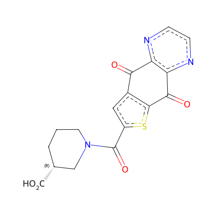 O=C1c2cc(C(=O)N3CCC[C@@H](C(=O)O)C3)sc2C(=O)c2nccnc21